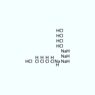 Cl.Cl.Cl.Cl.Cl.Cl.Cl.Cl.Cl.[NaH].[NaH].[NaH].[NaH]